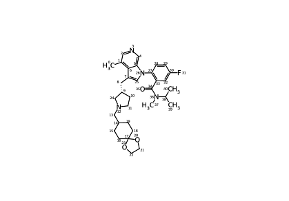 Cc1cncc2c1c(C[C@@H]1CCN(CC3CCC4(CC3)OCCO4)C1)cn2-c1ccc(F)cc1C(=O)N(C)C(C)C